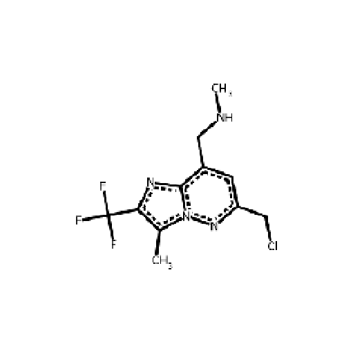 CNCc1cc(CCl)nn2c(C)c(C(F)(F)F)nc12